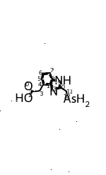 O=C(O)Cc1cccc2[nH]c(C[AsH2])nc12